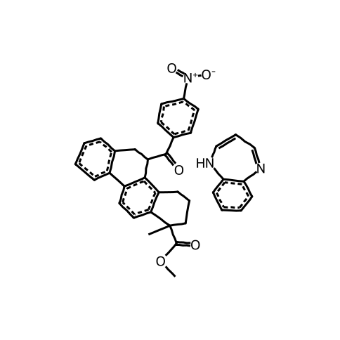 C1=CNc2ccccc2N=C1.COC(=O)C1(C)CCCc2c1ccc1c2C(C(=O)c2ccc([N+](=O)[O-])cc2)Cc2ccccc2-1